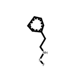 FSNCCc1ccccc1